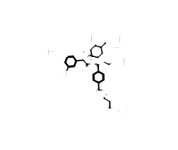 CCC[C@H](c1ccc(C(=O)NCCC(=O)O)cc1)N1C(=O)C(c2cc(C)cc(Cl)c2)=NC12CCC(C(C)(C)C)CC2